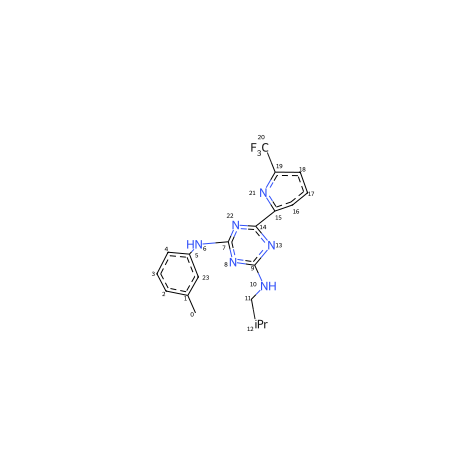 Cc1cccc(Nc2nc(NCC(C)C)nc(-c3cccc(C(F)(F)F)n3)n2)c1